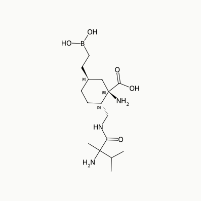 CC(C)C(C)(N)C(=O)NC[C@@H]1CC[C@@H](CCB(O)O)C[C@]1(N)C(=O)O